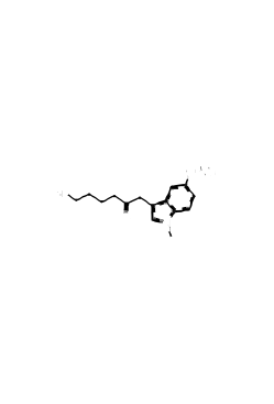 COc1ccc2c(c1)c(CC(=O)CCCCBr)cn2C